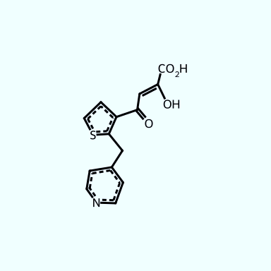 O=C(O)C(O)=CC(=O)c1ccsc1Cc1ccncc1